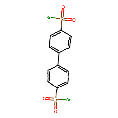 O=S(=O)(Br)c1ccc(-c2ccc(S(=O)(=O)Br)cc2)cc1